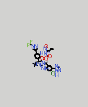 C=C/C=C(\N=O)NC(=O)OC[C@H](c1ccc(Cl)c(-c2ncn[nH]2)c1)N1C(=N)N[C@](CC(C)(C)C)(c2ccc(-c3cnn(C(F)F)c3)cc2)C1=O